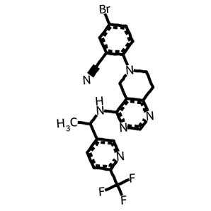 CC(Nc1ncnc2c1CN(c1ccc(Br)cc1C#N)CC2)c1ccc(C(F)(F)F)nc1